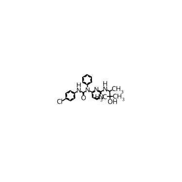 CC(Nc1nccc(N(C(=O)Nc2ccc(Cl)cc2)c2ccccc2)n1)C(C)(C)O